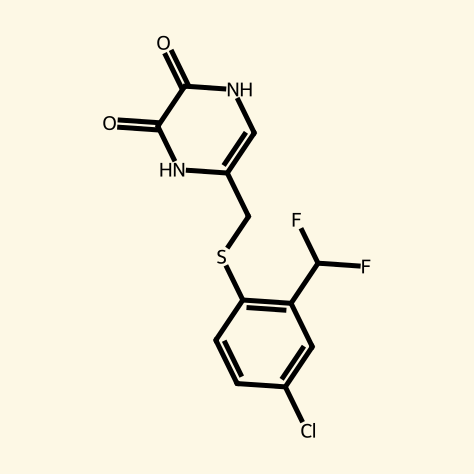 O=c1[nH]cc(CSc2ccc(Cl)cc2C(F)F)[nH]c1=O